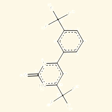 O=c1nc(-c2cccc(C(F)(F)F)c2)cc(C(F)(F)F)[nH]1